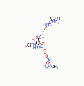 C[C@@H](N)CC(=O)NCCOCCOCCNC(=O)c1cc(NC(=O)c2ccc(I)cc2)cc(C(=O)NCCOCCOCCNC(=O)C[C@H](N)C(=O)O)c1